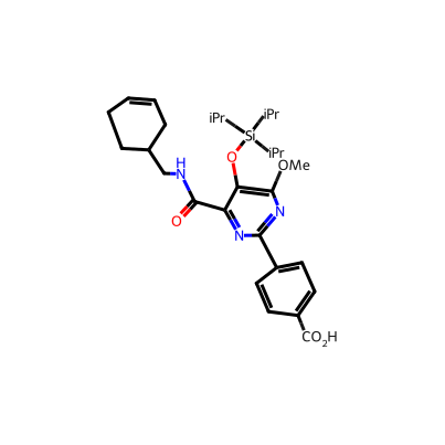 COc1nc(-c2ccc(C(=O)O)cc2)nc(C(=O)NCC2CC=CCC2)c1O[Si](C(C)C)(C(C)C)C(C)C